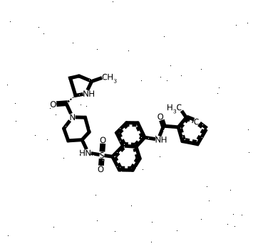 Cc1ccccc1C(=O)Nc1cccc2c(S(=O)(=O)NC3CCN(C(=O)[C@@H]4CCC(C)N4)CC3)cccc12